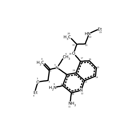 C=C(COCC)N(C)c1c(N)c(N)nc2cccc(OC(C)CNCC)c12